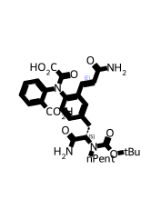 CCCCCN(C(=O)OC(C)(C)C)[C@@H](Cc1ccc(N(C(=O)C(=O)O)c2ccccc2C(=O)O)c(/C=C/C(N)=O)c1)C(N)=O